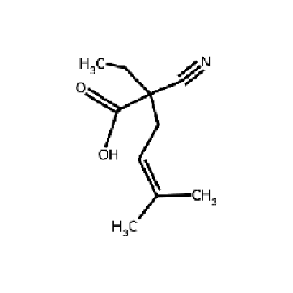 CCC(C#N)(CC=C(C)C)C(=O)O